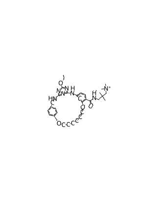 CCOc1nc2nc(n1)Nc1ccc(C(=O)NCC(C)(C)C[N+](C)(C)C)c(c1)OCCCCCCOc1ccc(cc1)CN2